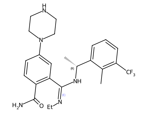 CC/N=C(/N[C@H](C)c1cccc(C(F)(F)F)c1C)c1cc(N2CCNCC2)ccc1C(N)=O